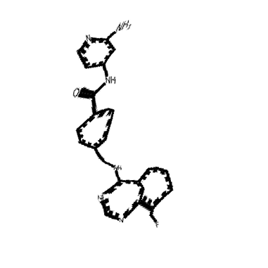 Nc1cc(NC(=O)c2ccc(CNc3ncnc4c(F)cccc34)cc2)ccn1